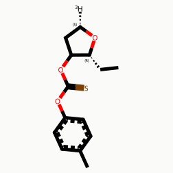 [3H][C@H]1CC(OC(=S)Oc2ccc(C)cc2)[C@@H](CC)O1